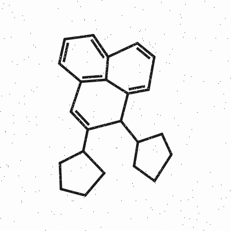 C1=C(C2CCCC2)C(C2CCCC2)c2cccc3cccc1c23